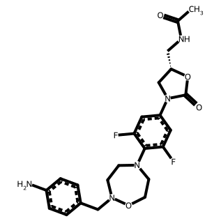 CC(=O)NC[C@H]1CN(c2cc(F)c(N3CCON(Cc4ccc(N)cc4)CC3)c(F)c2)C(=O)O1